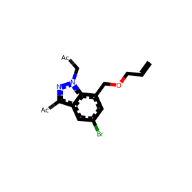 C=CCOCc1cc(Br)cc2c(C(C)=O)nn(CC(C)=O)c12